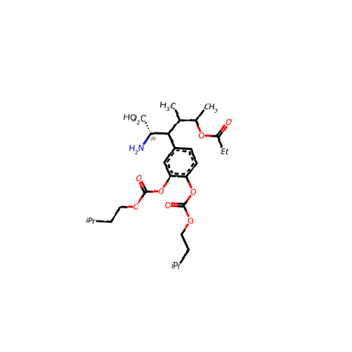 CCC(=O)OC(C)C(C)C(c1ccc(OC(=O)OCCC(C)C)c(OC(=O)OCCC(C)C)c1)[C@H](N)C(=O)O